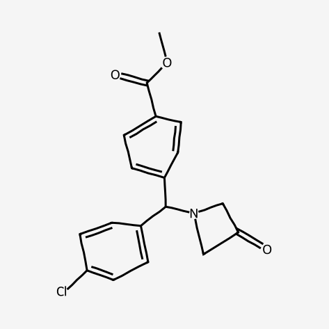 COC(=O)c1ccc(C(c2ccc(Cl)cc2)N2CC(=O)C2)cc1